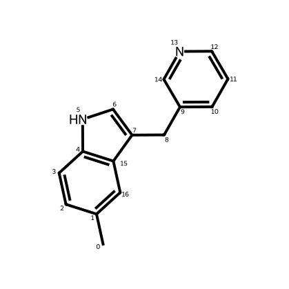 Cc1ccc2[nH]cc(Cc3cccnc3)c2c1